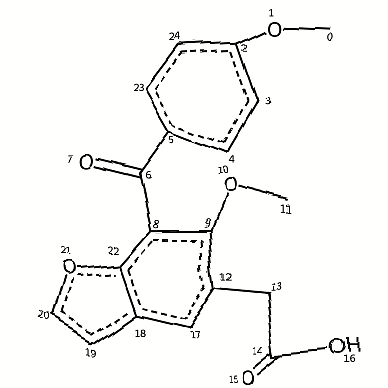 COc1ccc(C(=O)c2c(OC)c(CC(=O)O)cc3ccoc23)cc1